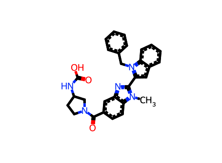 Cn1c(-c2cc3ccccc3n2Cc2ccccc2)nc2cc(C(=O)N3CCC(NC(=O)O)C3)ccc21